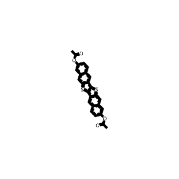 CC(=O)Oc1ccc2cc3c(cc2c1)sc1c2cc4ccc(OC(C)=O)cc4cc2sc31